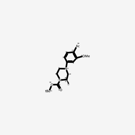 COc1cc(N2CCN(C(=O)OC(C)(C)C)[C@H](C)C2)ccc1C(C)=O